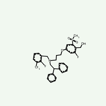 CS(=O)(=O)c1cc(OCCCN(Cc2cccc(C(F)(F)F)c2F)CC(c2ccccc2)c2ccccc2)cc(F)c1CO